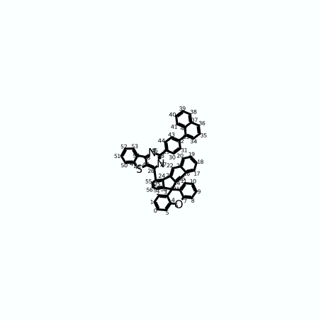 c1ccc2c(c1)Oc1ccccc1C21c2cc3ccccc3cc2-c2c(-c3nc(-c4ccc(-c5cccc6ccccc56)cc4)nc4c3sc3ccccc34)cccc21